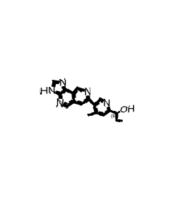 CC[C@H](O)c1cc(C)c(-c2cc3cnc4[nH]cnc4c3cn2)cn1